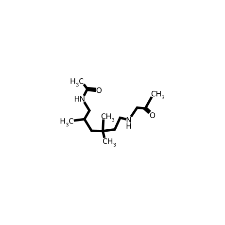 CC(=O)CNCCC(C)(C)CC(C)CNC(C)=O